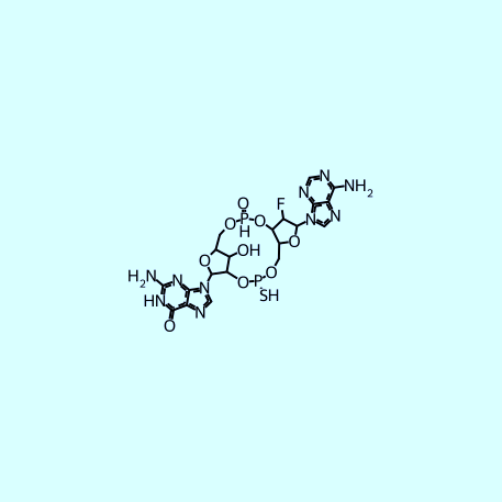 Nc1nc2c(ncn2C2OC3CO[PH](=O)OC4C(CO[P@@](S)OC2C3O)OC(n2cnc3c(N)ncnc32)C4F)c(=O)[nH]1